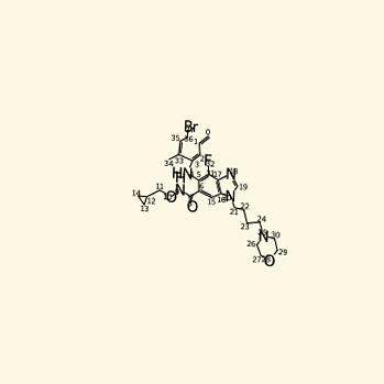 C=C/C=C(Nc1c(C(=O)NOCC2CC2)cc2c(ncn2CCCCN2CCOCC2)c1F)\C(C)=C/CBr